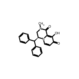 CN1C[C@H](C(c2ccccc2)c2ccccc2)n2ccc(=O)c(O)c2C1=O